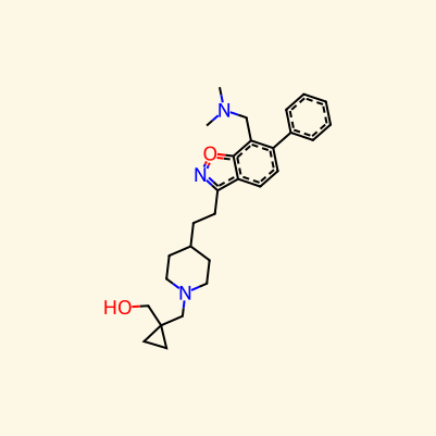 CN(C)Cc1c(-c2ccccc2)ccc2c(CCC3CCN(CC4(CO)CC4)CC3)noc12